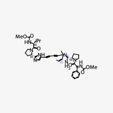 C/C=C\C(C)(C#CC#Cc1cnc([C@@H]2CCCN2C(=O)[C@@H](NC(=O)OC)C(C)C)[nH]1)/N=C(\N)[C@@H]1CCCN1C(=O)[C@H](NC(=O)OC)c1ccccc1